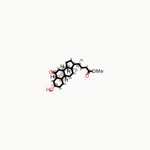 COC(=O)CC[C@@H](C)C1CC[C@H]2[C@@H]3CC(=O)[C@@H]4C[C@H](O)CC[C@]4(C)[C@H]3CC[C@]12C